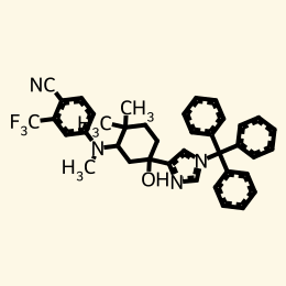 CN(c1ccc(C#N)c(C(F)(F)F)c1)C1CC(O)(c2cn(C(c3ccccc3)(c3ccccc3)c3ccccc3)cn2)CCC1(C)C